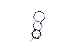 Fc1ccc2c(c1)CN1CCCCCC1=N2